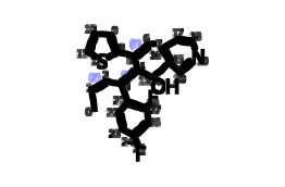 C\C=C/C(=C(\C(=C/C)c1cccs1)C(O)c1cccnc1)c1ccc(F)cc1F